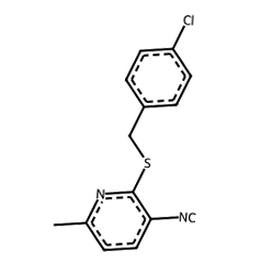 [C-]#[N+]c1ccc(C)nc1SCc1ccc(Cl)cc1